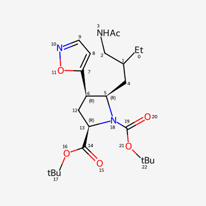 CCC(CNC(C)=O)C[C@@H]1[C@H](c2ccno2)C[C@H](C(=O)OC(C)(C)C)N1C(=O)OC(C)(C)C